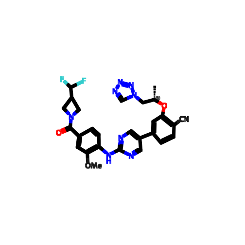 COc1cc(C(=O)N2CC(C(F)F)C2)ccc1Nc1ncc(-c2ccc(C#N)c(O[C@@H](C)Cn3cnnn3)c2)cn1